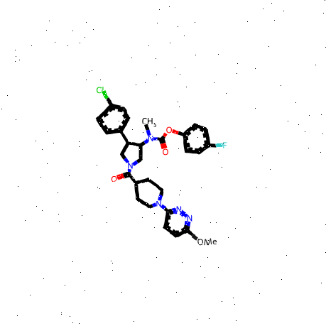 COc1ccc(N2CCC(C(=O)N3CC(c4ccc(Cl)cc4)C(N(C)C(=O)Oc4ccc(F)cc4)C3)CC2)nn1